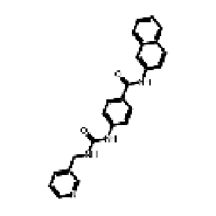 O=C(NCc1cccnc1)Nc1ccc(C(=O)Nc2ccc3ccccc3c2)cc1